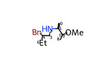 C=C(NCC(Br)CC)[C@H](C)OC